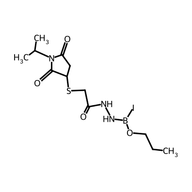 CCCOB(I)NNC(=O)CSC1CC(=O)N(C(C)C)C1=O